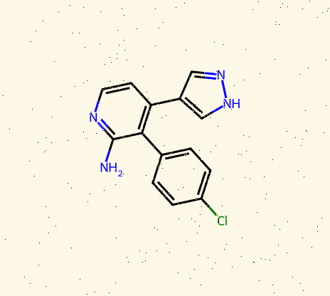 Nc1nccc(-c2cn[nH]c2)c1-c1ccc(Cl)cc1